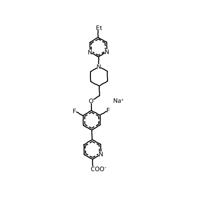 CCc1cnc(N2CCC(COc3c(F)cc(-c4ccc(C(=O)[O-])nc4)cc3F)CC2)nc1.[Na+]